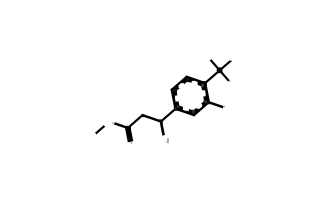 COC(=O)CC(N)c1ccc(C(F)(F)F)c(F)c1.Cl